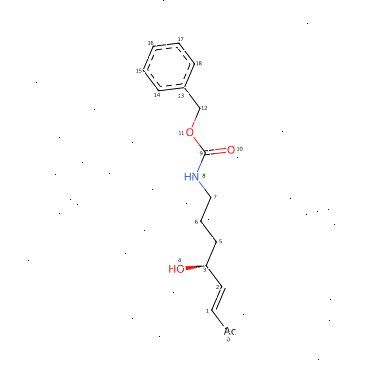 CC(=O)/C=C/[C@@H](O)CCCNC(=O)OCc1ccccc1